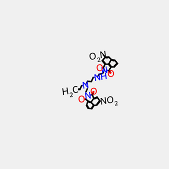 C=CCN(CCCNCCN1C(=O)c2cccc3cc([N+](=O)[O-])cc(c23)C1=O)CCN1C(=O)c2cccc3cc([N+](=O)[O-])cc(c23)C1=O